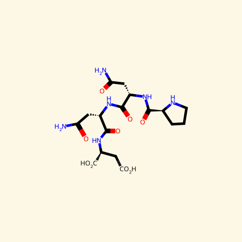 NC(=O)C[C@H](NC(=O)[C@H](CC(N)=O)NC(=O)[C@@H]1CCCN1)C(=O)N[C@@H](CC(=O)O)C(=O)O